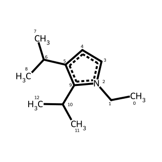 CCn1ccc(C(C)C)c1C(C)C